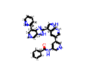 O=C(Nc1cncc(-c2cnc3[nH]cc(-c4nc5c(-c6ccccn6)cncc5[nH]4)c3c2)c1)c1ccccc1